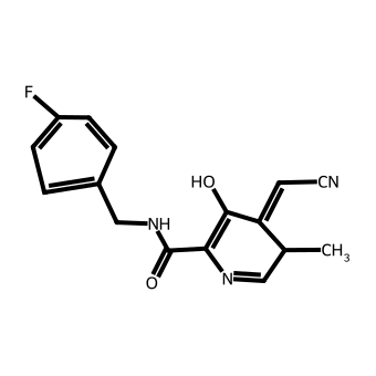 CC1C=NC(C(=O)NCc2ccc(F)cc2)=C(O)/C1=C/C#N